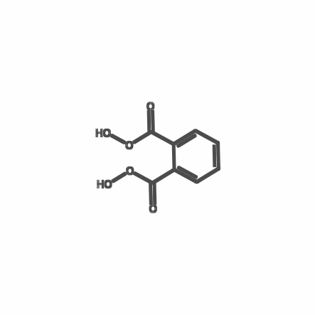 O=C(OO)c1ccccc1C(=O)OO